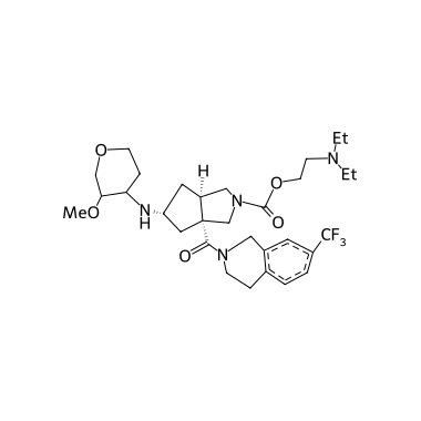 CCN(CC)CCOC(=O)N1C[C@@H]2C[C@@H](NC3CCOCC3OC)C[C@]2(C(=O)N2CCc3ccc(C(F)(F)F)cc3C2)C1